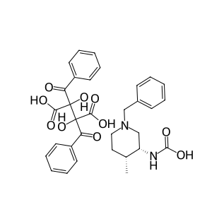 C[C@@H]1CCN(Cc2ccccc2)C[C@@H]1NC(=O)O.O=C(O)C(O)(C(=O)c1ccccc1)C(O)(C(=O)O)C(=O)c1ccccc1